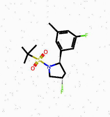 Cc1cc(F)cc([C@H]2C[C@H](F)CN2S(=O)(=O)C(C)(C)C)c1